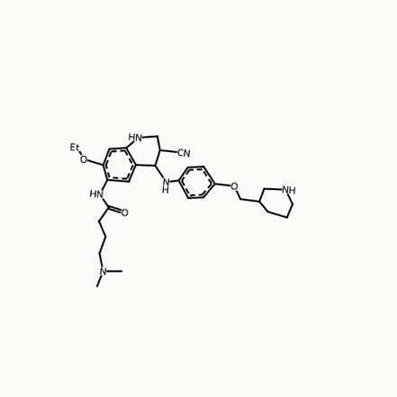 CCOc1cc2c(cc1NC(=O)CCCN(C)C)C(Nc1ccc(OCC3CCCNC3)cc1)C(C#N)CN2